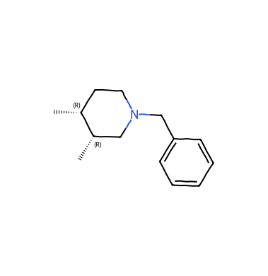 C[C@@H]1CCN(Cc2ccccc2)C[C@@H]1C